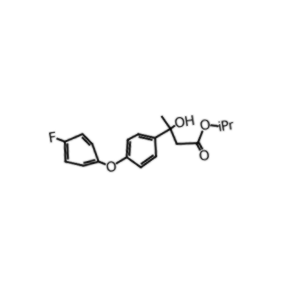 CC(C)OC(=O)CC(C)(O)c1ccc(Oc2ccc(F)cc2)cc1